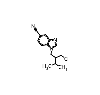 CC(C)C(CCl)Cn1cnc2cc(C#N)ccc21